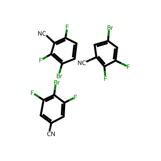 N#Cc1c(F)ccc(Br)c1F.N#Cc1cc(Br)cc(F)c1F.N#Cc1cc(F)c(Br)c(F)c1